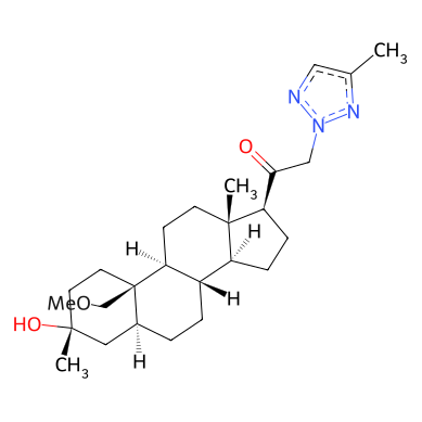 COC[C@]12CC[C@@](C)(O)C[C@@H]1CC[C@H]1[C@@H]3CC[C@H](C(=O)Cn4ncc(C)n4)[C@@]3(C)CC[C@@H]12